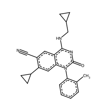 Cc1ccccc1-n1c(=O)nc(NCC2CC2)c2cc(C#N)c(C3CC3)cc21